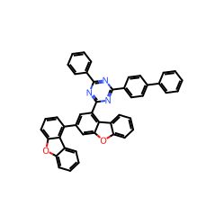 c1ccc(-c2ccc(-c3nc(-c4ccccc4)nc(-c4cc(-c5cccc6oc7ccccc7c56)cc5oc6ccccc6c45)n3)cc2)cc1